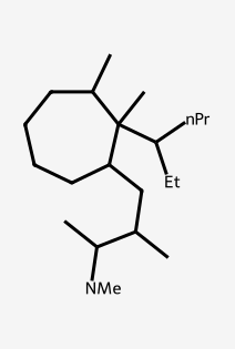 CCCC(CC)C1(C)C(C)CCCCC1CC(C)C(C)NC